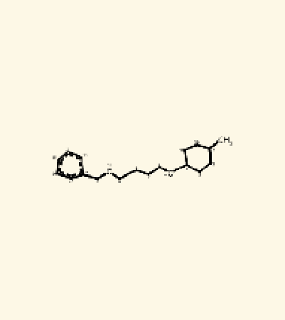 CC1CCC(OCCCCOCc2ccccc2)CC1